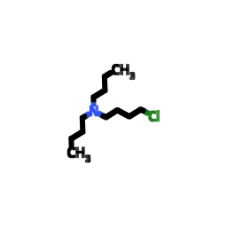 CCCCN(CCCC)CCCCCl